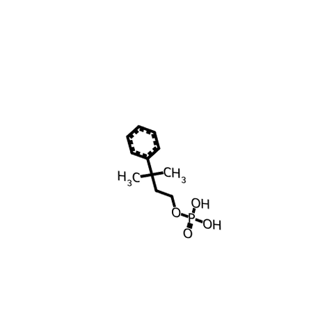 CC(C)(CCOP(=O)(O)O)c1ccccc1